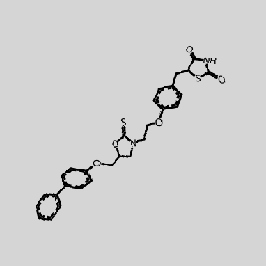 O=C1NC(=O)C(Cc2ccc(OCCN3CC(COc4ccc(-c5ccccc5)cc4)OC3=S)cc2)S1